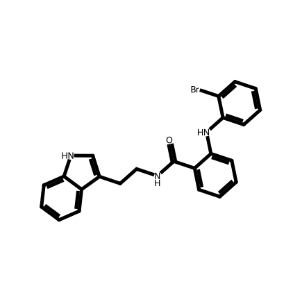 O=C(NCCc1c[nH]c2ccccc12)c1ccccc1Nc1ccccc1Br